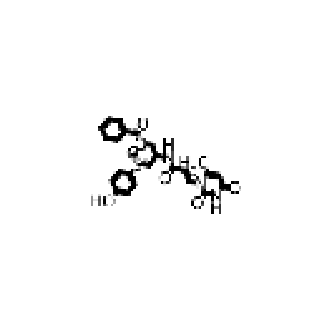 Cc1cc(=O)[nH]c(=O)n1C=CC(=O)NC(COC(=O)c1ccccc1)C[S+]([O-])c1ccc(O)cc1